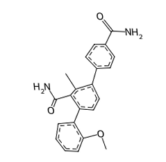 COc1ccccc1-c1ccc(-c2ccc(C(N)=O)cc2)c(C)c1C(N)=O